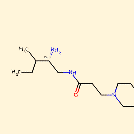 CCC(C)[C@H](N)CNC(=O)CCN1CCOCC1